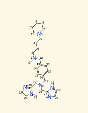 CN(CCCCN1CCCCC1)Cc1ccc(CN(CC2=NCCN2C)Cc2ncc[nH]2)cc1